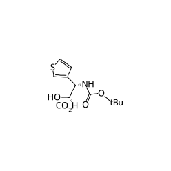 CC(C)(C)OC(=O)N[C@@H](c1ccsc1)[C@@H](O)C(=O)O